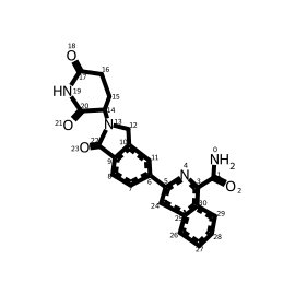 NC(=O)c1nc(-c2ccc3c(c2)CN(C2CCC(=O)NC2=O)C3=O)cc2ccccc12